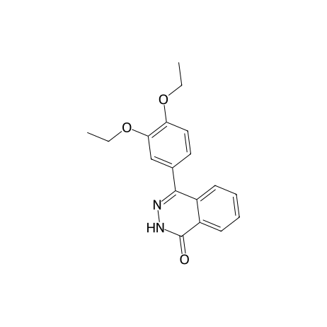 CCOc1ccc(-c2n[nH]c(=O)c3ccccc23)cc1OCC